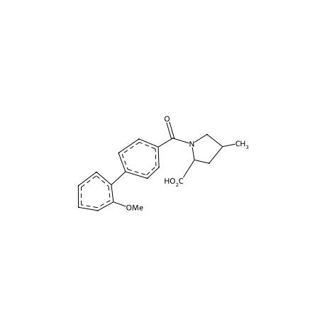 COc1ccccc1-c1ccc(C(=O)N2CC(C)CC2C(=O)O)cc1